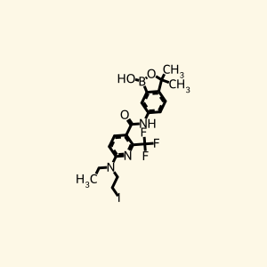 CCN(CCI)c1ccc(C(=O)Nc2ccc3c(c2)B(O)OC3(C)C)c(C(F)(F)F)n1